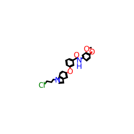 O=C(Nc1ccc2c(c1)OCO2)c1cccc(Oc2ccc3c(ccn3CCCCl)c2)c1